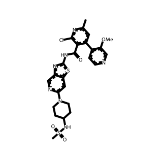 COc1cnccc1-c1cc(C)nc(Cl)c1C(=O)Nc1nc2cnc(N3CCC(NS(C)(=O)=O)CC3)cc2s1